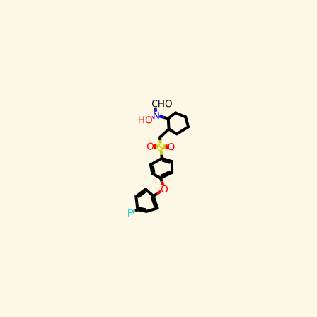 O=CN(O)C1CCCCC1CS(=O)(=O)c1ccc(Oc2ccc(F)cc2)cc1